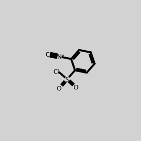 [C-]#[N+]c1ccccc1S(=O)(=O)Cl